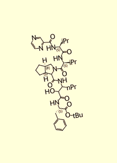 CCCC(NC(=O)C1[C@H]2CCC[C@H]2CN1C(=O)[C@@H](NC(=O)[C@@H](NC(=O)c1cnccn1)C(C)C)C(C)C)C(O)C(=O)N[C@@H](Cc1ccccc1)C(=O)OC(C)(C)C